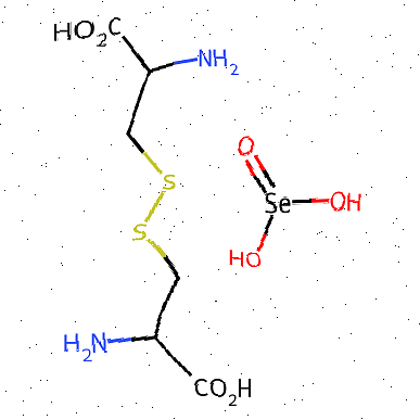 NC(CSSCC(N)C(=O)O)C(=O)O.O=[Se](O)O